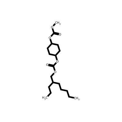 CCCCCC(CCC)COC(=O)OC1CCC(OC(=O)OC)CC1